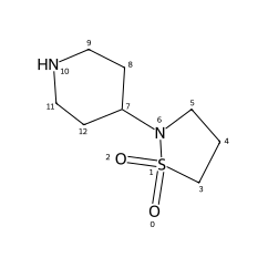 O=S1(=O)CCCN1C1CCNCC1